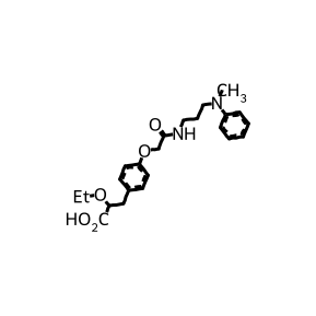 CCOC(Cc1ccc(OCC(=O)NCCCN(C)c2ccccc2)cc1)C(=O)O